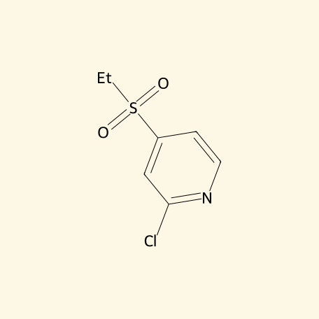 CCS(=O)(=O)c1ccnc(Cl)c1